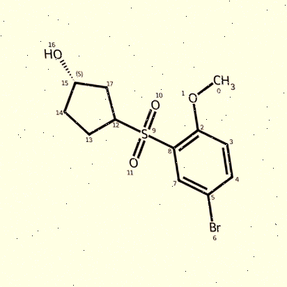 COc1ccc(Br)cc1S(=O)(=O)C1CC[C@H](O)C1